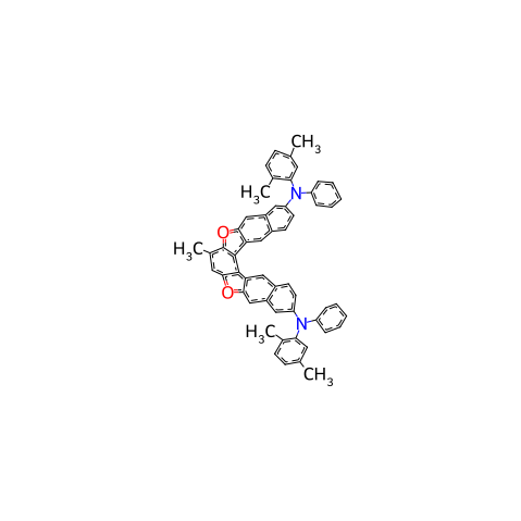 Cc1ccc(C)c(N(c2ccccc2)c2ccc3cc4c(cc3c2)oc2cc(C)c3oc5cc6cc(N(c7ccccc7)c7cc(C)ccc7C)ccc6cc5c3c24)c1